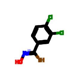 O/N=C(\S)c1ccc(Cl)c(Cl)c1